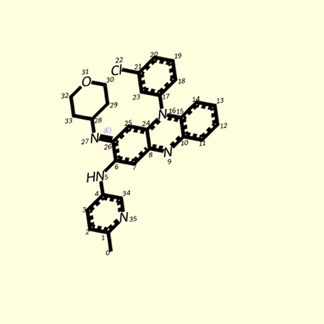 Cc1ccc(Nc2cc3nc4ccccc4n(-c4cccc(Cl)c4)c-3c/c2=N\C2CCOCC2)cn1